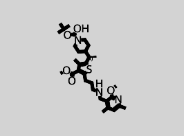 COC(=O)c1c(CCCNCc2c(C)cc(C)nc2OC)sc([C@H](C)C2CCN(C(O)OC(C)(C)C)CC2)c1C